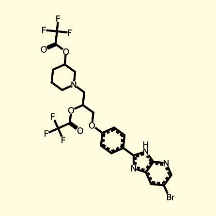 O=C(OC1CCCN(CC(COc2ccc(-c3nc4cc(Br)cnc4[nH]3)cc2)OC(=O)C(F)(F)F)C1)C(F)(F)F